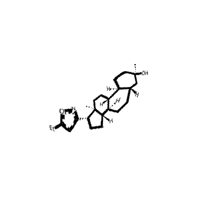 CCc1cc([C@H]2CC[C@H]3[C@@H]4CC[C@H]5C[C@](C)(O)CC[C@@H]5[C@H]4CC[C@]23C)no1